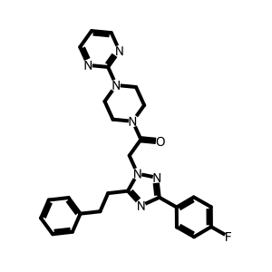 O=C(Cn1nc(-c2ccc(F)cc2)nc1CCc1ccccc1)N1CCN(c2ncccn2)CC1